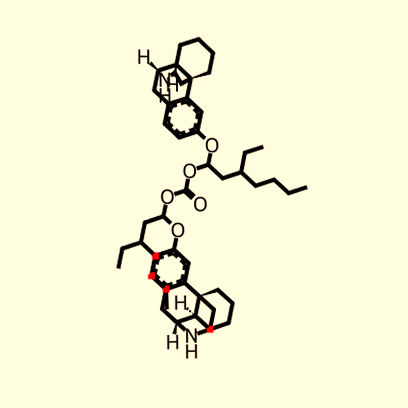 CCCCC(CC)CC(OC(=O)OC(CC(CC)CCCC)Oc1ccc2c(c1)[C@@]13CCCC[C@H]1[C@@H](C2)NCC3)Oc1ccc2c(c1)[C@@]13CCCC[C@H]1[C@@H](C2)NCC3